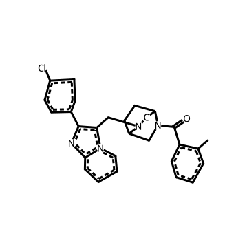 Cc1ccccc1C(=O)N1CC2CCC1CN2Cc1c(-c2ccc(Cl)cc2)nc2ccccn12